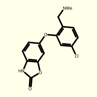 CNCc1ccc(Cl)cc1Oc1ccc2[nH]c(=O)oc2c1